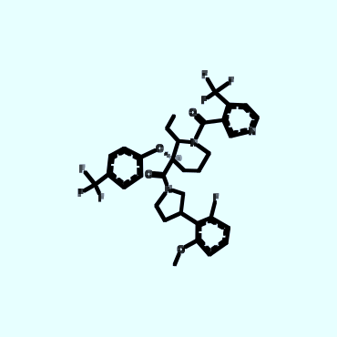 CCC1N(C(=O)c2cnccc2C(F)(F)F)CCC[C@@]1(Oc1ccc(C(F)(F)F)cc1)C(=O)N1CCC(c2c(F)cccc2OC)C1